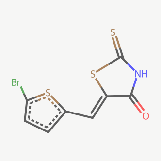 O=C1NC(=S)SC1=Cc1ccc(Br)s1